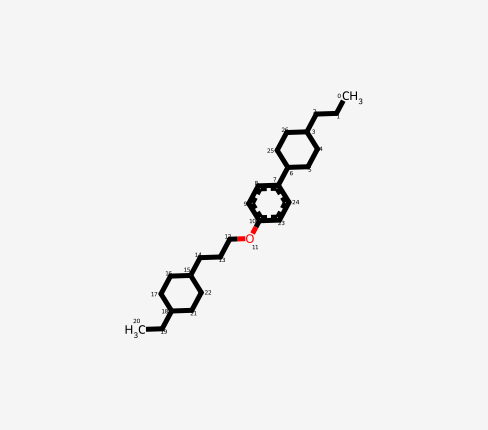 CCCC1CCC(c2ccc(OCCCC3CCC(CC)CC3)cc2)CC1